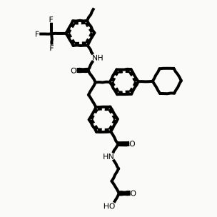 Cc1cc(NC(=O)C(Cc2ccc(C(=O)NCCC(=O)O)cc2)c2ccc(C3CCCCC3)cc2)cc(C(F)(F)F)c1